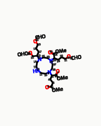 COC(=O)CCC(C(=O)OC)N1CCNCCN(C(CCCOC=O)COC=O)CCN(C(CCCOC=O)C(=O)OC)CC1